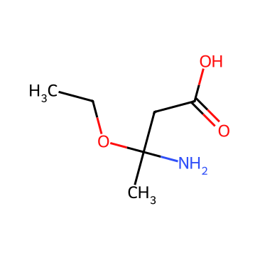 CCOC(C)(N)CC(=O)O